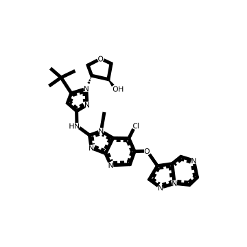 Cn1c(Nc2cc(C(C)(C)C)n([C@@H]3COC[C@H]3O)n2)nc2ncc(Oc3cnn4ccncc34)c(Cl)c21